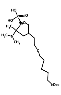 CCCCCCCCCCCCCCCCCCC(COC(C)=O)CC(C)(OP(=O)(O)O)N(C)C